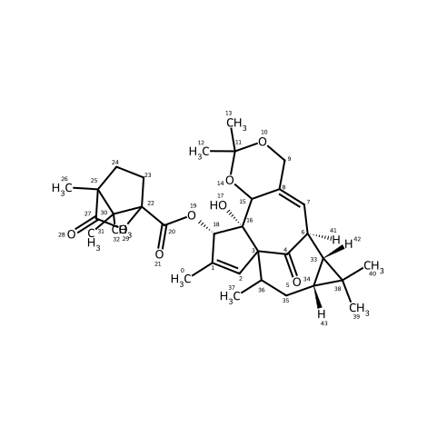 CC1=CC23C(=O)[C@@H](C=C4COC(C)(C)OC4[C@]2(O)[C@H]1OC(=O)C12CCC(C)(C(=O)O1)C2(C)C)[C@H]1[C@@H](CC3C)C1(C)C